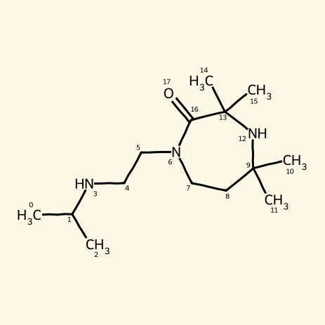 CC(C)NCCN1CCC(C)(C)NC(C)(C)C1=O